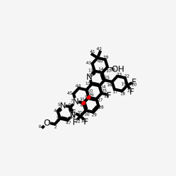 COCc1cnc(N2CCC(c3nc4c(c(C5CCC(F)(F)CC5)c3C(F)c3ccc(C(F)(F)F)cc3)[C@@H](O)CC(C)(C)C4)CC2)nc1